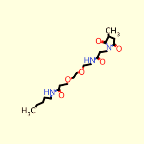 CCCCCNC(=O)CCOCCOCCNC(=O)CCN1C(=O)CC(C)C1=O